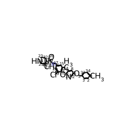 Cc1ccc(COc2ccc(Oc3c(C)cc(/C=C/C(=O)N4CCNC[C@H]4C)cc3Cl)nc2)cc1